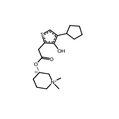 C[N+]1(C)CCC[C@H](OC(=O)Cc2scc(C3CCCC3)c2O)C1